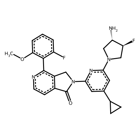 COc1cccc(F)c1-c1nccc2c1CN(c1cc(C3CC3)cc(N3C[C@H](N)[C@@H](F)C3)n1)C2=O